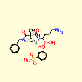 CC(C)(C(=O)NCc1ccccc1)C(=O)N[C@@H](CCCN)B(O)O.O=S(=O)(O)c1ccccc1